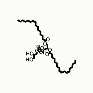 CCCCC/C=C\C/C=C\CCCCCCCC(=O)O[C@H](COC(=O)CCCCCCC/C=C\CCCCCC)COP(=O)(O)OC[C@@H](O)CO